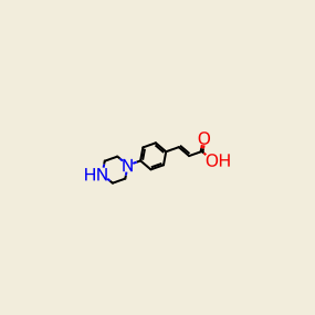 O=C(O)C=Cc1ccc(N2CCNCC2)cc1